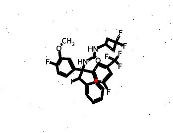 COc1cc(C(NC(=O)NC2CC(F)(F)C2)(c2cc(F)cc(C(F)(F)F)c2)C(I)c2ccccc2)ccc1F